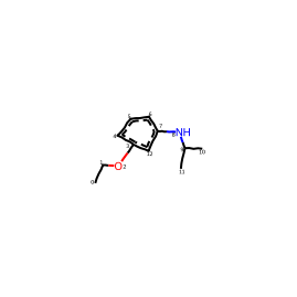 CCOc1cccc(NC(C)C)c1